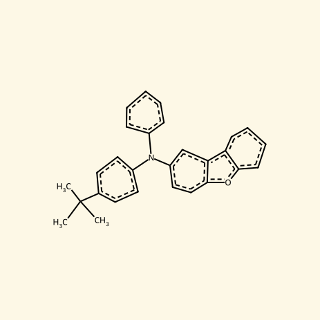 CC(C)(C)c1ccc(N(c2ccccc2)c2ccc3oc4ccccc4c3c2)cc1